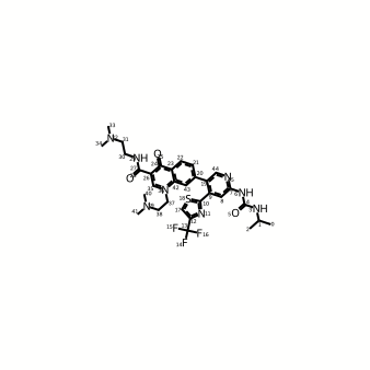 CC(C)NC(=O)Nc1cc(-c2nc(C(F)(F)F)cs2)c(-c2ccc3c(=O)c(C(=O)NCCN(C)C)cn(CCN(C)C)c3c2)cn1